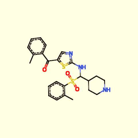 Cc1ccccc1C(=O)c1cnc(NC(C2CCNCC2)S(=O)(=O)c2ccccc2C)s1